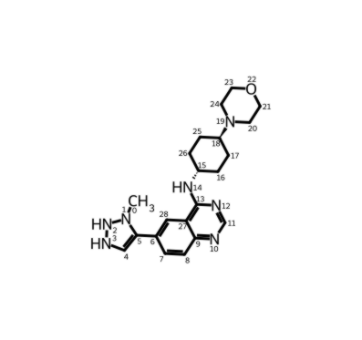 CN1NNC=C1c1ccc2ncnc(N[C@H]3CC[C@H](N4CCOCC4)CC3)c2c1